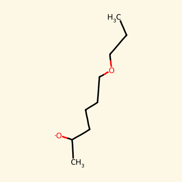 CCCOCCCCC(C)[O]